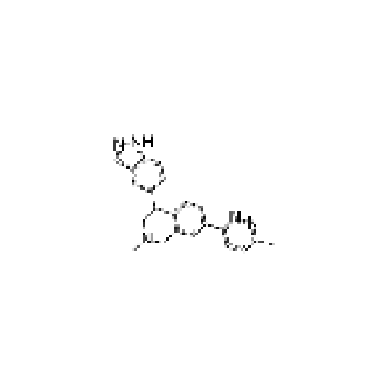 Cc1ccc(-c2ccc3c(c2)CN(C)CC3c2ccc3[nH]ncc3c2)nn1